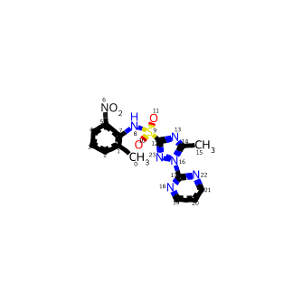 Cc1cccc([N+](=O)[O-])c1NS(=O)(=O)c1nc(C)n(-c2ncccn2)n1